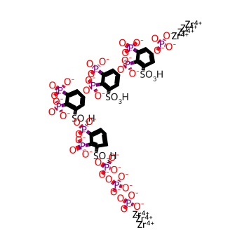 O=P([O-])([O-])[O-].O=P([O-])([O-])[O-].O=P([O-])([O-])[O-].O=P([O-])([O-])[O-].O=P([O-])([O-])c1cccc(S(=O)(=O)O)c1P(=O)([O-])[O-].O=P([O-])([O-])c1cccc(S(=O)(=O)O)c1P(=O)([O-])[O-].O=P([O-])([O-])c1cccc(S(=O)(=O)O)c1P(=O)([O-])[O-].O=P([O-])([O-])c1cccc(S(=O)(=O)O)c1P(=O)([O-])[O-].[Zr+4].[Zr+4].[Zr+4].[Zr+4].[Zr+4].[Zr+4].[Zr+4]